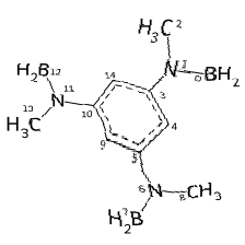 BN(C)c1cc(N(B)C)cc(N(B)C)c1